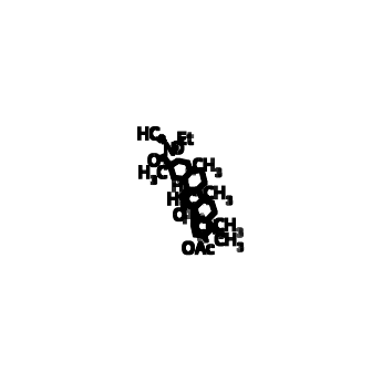 C#CN(OCC)C(=O)[C@@]1(C)CC[C@]2(C)CC[C@]3(C)C(=CC(=O)[C@@H]4[C@@]5(C)CC[C@H](OC(C)=O)C(C)(C)C5CC[C@]43C)[C@@H]2C1